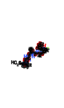 CCC(C)(CC)C1CC(=O)N([C@@H](CNC(CCC(=O)O)C(=O)O)C(=O)NCC(=O)NCC(=O)N[C@@H](Cc2ccccc2)C(=O)NCC(=O)NCO[C@H](C(=O)N[C@H]2CCc3c(C)c(F)cc4nc5c(c2c34)CC2CC(=O)C3=C(C=C52)[C@@](O)(CC)C(=O)OC3)C2CC2)C1=O